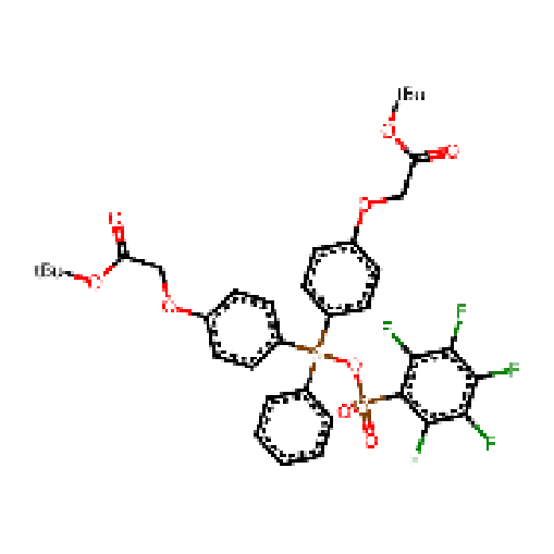 CC(C)(C)OC(=O)COc1ccc(S(OS(=O)(=O)c2c(F)c(F)c(F)c(F)c2F)(c2ccccc2)c2ccc(OCC(=O)OC(C)(C)C)cc2)cc1